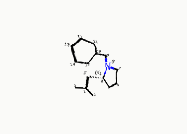 CC(C)C[C@H]1CCCN1CC1CCCCC1